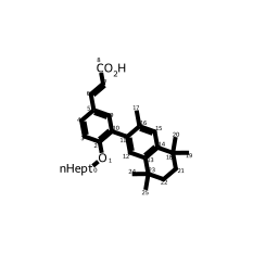 CCCCCCCOc1ccc(C=CC(=O)O)cc1-c1cc2c(cc1C)C(C)(C)CCC2(C)C